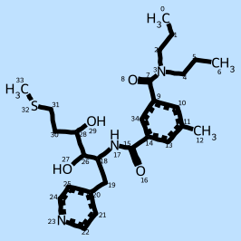 CCCN(CCC)C(=O)c1cc(C)cc(C(=O)NC(Cc2ccncc2)C(O)C(O)CCSC)c1